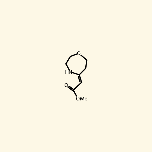 COC(=O)C=C1CCOCCN1